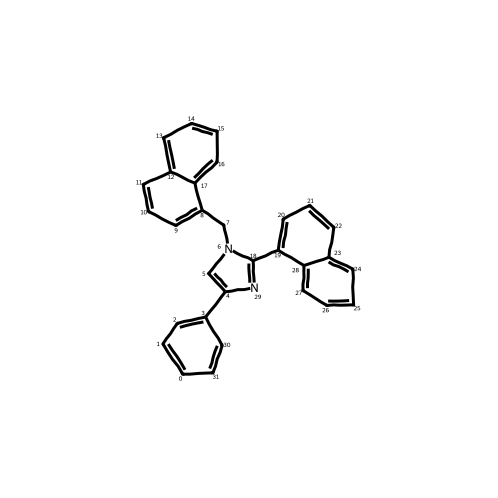 c1ccc(-c2cn(Cc3cccc4ccccc34)c(-c3cccc4ccccc34)n2)cc1